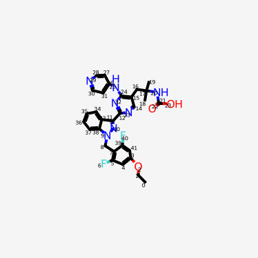 CCOc1cc(F)c(Cn2nc(-c3ncc(CC(C)(C)NC(=O)O)c(Nc4ccncc4)n3)c3ccccc32)c(F)c1